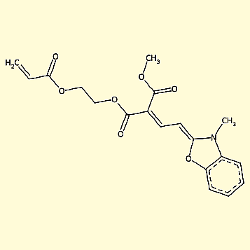 C=CC(=O)OCCOC(=O)/C(=C/C=C1\Oc2ccccc2N1C)C(=O)OC